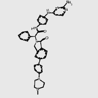 CN1CCN(c2ccc(-c3ccc4c(c3)CN([C@H](C(=O)Nc3ccc(Nc5ccnc(N)n5)cc3)c3ccccc3)C4=O)cc2)CC1